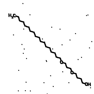 CCCCCCCCCCCCCCCCCCOCCCOCCCCO